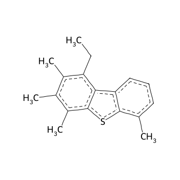 CCc1c(C)c(C)c(C)c2sc3c(C)cccc3c12